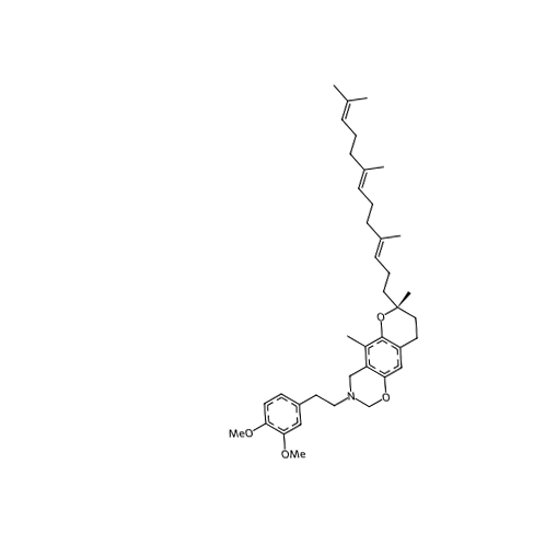 COc1ccc(CCN2COc3cc4c(c(C)c3C2)O[C@](C)(CC/C=C(\C)CC/C=C(\C)CCC=C(C)C)CC4)cc1OC